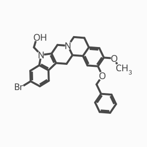 COc1cc2c(cc1OCc1ccccc1)C1Cc3c(n(CO)c4cc(Br)ccc34)CN1CC2